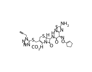 C#CCn1nnnc1SCC1=C(C(=O)O)N2C(=O)C(NC(=O)/C(=N\OC3=CCCC3)c3nsc(N)n3)[C@H]2SC1